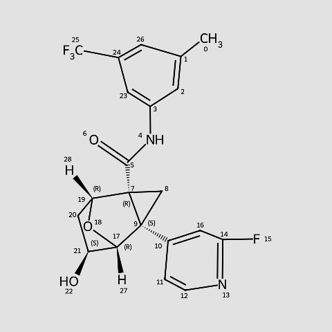 Cc1cc(NC(=O)[C@]23C[C@@]2(c2ccnc(F)c2)[C@H]2O[C@@H]3C[C@@H]2O)cc(C(F)(F)F)c1